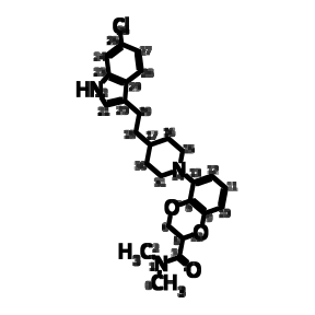 CN(C)C(=O)C1COc2c(cccc2N2CCC(CCc3c[nH]c4cc(Cl)ccc34)CC2)O1